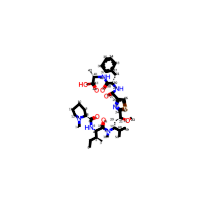 CC[C@H](C)[C@H](NC(=O)[C@H]1CCCCN1C)C(=O)N(C)[C@H](C[C@@H](OC)c1nc(C(=O)N[C@@H](Cc2ccccc2)C(=O)N[C@@H](C)C(=O)O)cs1)C(C)C